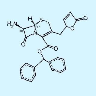 N[C@@H]1C(=O)N2C(C(=O)OC(c3ccccc3)c3ccccc3)=C(CC3C=CC(=O)O3)CS[C@@H]12